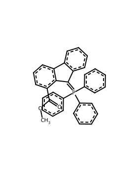 COC(=O)c1cccc2c1C(=P(c1ccccc1)(c1ccccc1)c1ccccc1)c1ccccc1-2